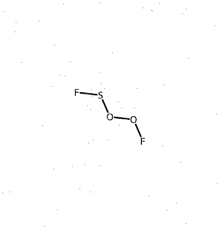 FOOSF